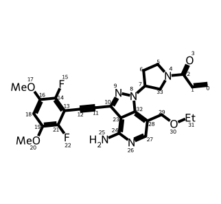 C=CC(=O)N1CCC(n2nc(C#Cc3c(F)c(OC)cc(OC)c3F)c3c(N)ncc(COCC)c32)C1